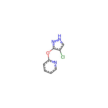 Clc1c[nH]nc1Oc1ccccn1